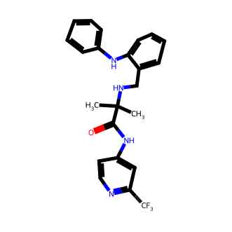 CC(C)(NCc1ccccc1Nc1ccccc1)C(=O)Nc1ccnc(C(F)(F)F)c1